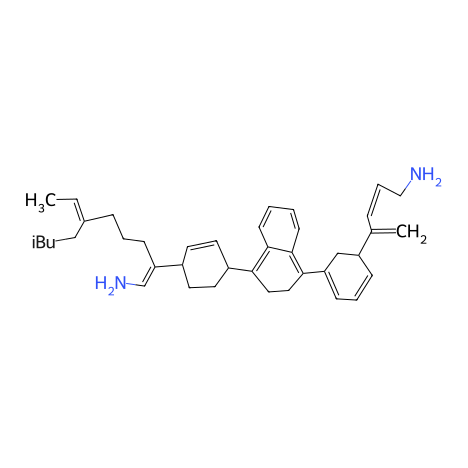 C=C(/C=C\CN)C1C=CC=C(C2=c3ccccc3=C(C3C=CC(/C(=C/N)CCC/C(=C/C)CC(C)CC)CC3)CC2)C1